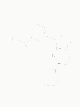 C[C@@H]1CN(c2ccc3ncc(-c4cccc(C(N)=O)c4)n3n2)C[C@H](C)O1